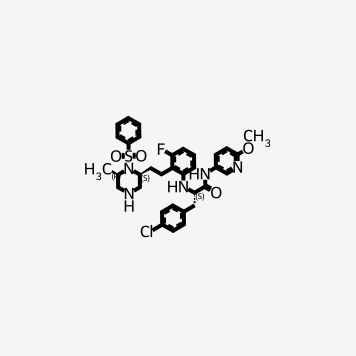 COc1ccc(NC(=O)[C@H](Cc2ccc(Cl)cc2)Nc2cccc(F)c2CC[C@H]2CNC[C@@H](C)N2S(=O)(=O)c2ccccc2)cn1